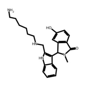 CN1C(=O)c2ccc(O)cc2C1c1c(CNCCCCCCN)[nH]c2ccccc12